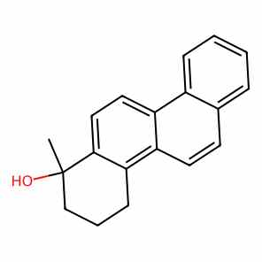 CC1(O)CCCc2c1ccc1c2ccc2ccccc21